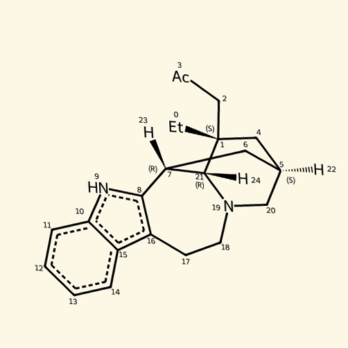 CC[C@@]1(CC(C)=O)C[C@@H]2C[C@H]3c4[nH]c5ccccc5c4CCN(C2)[C@H]31